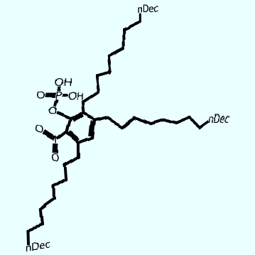 CCCCCCCCCCCCCCCCCCc1cc(CCCCCCCCCCCCCCCCCC)c(I(=O)=O)c(OP(=O)(O)O)c1CCCCCCCCCCCCCCCCCC